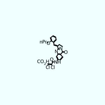 CCCOc1ccccc1C=C1CCn2c1nc1cc(NC(=O)/C(Cl)=C(/Cl)C(=O)O)ccc1c2=O